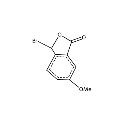 COc1ccc2c(c1)C(=O)OC2Br